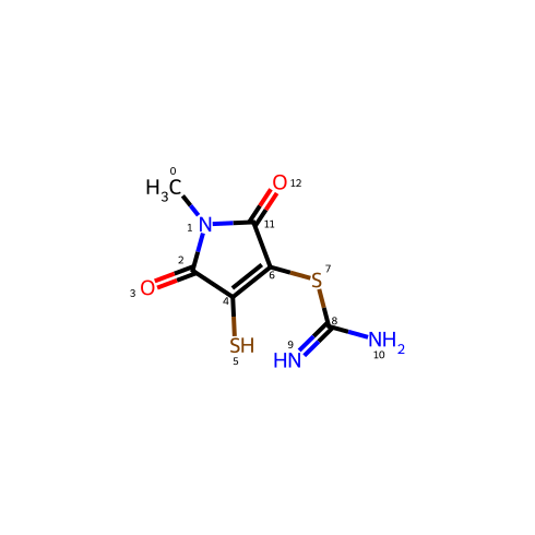 CN1C(=O)C(S)=C(SC(=N)N)C1=O